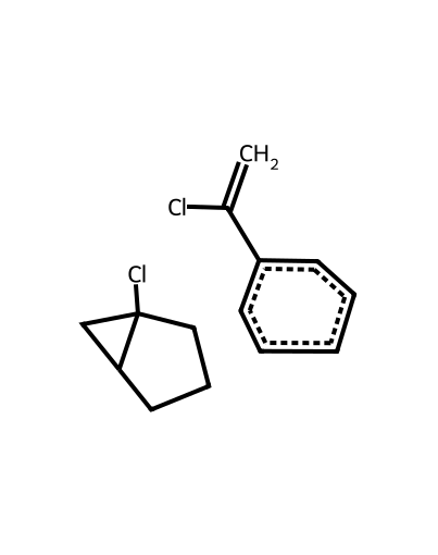 C=C(Cl)c1ccccc1.ClC12CCCC1C2